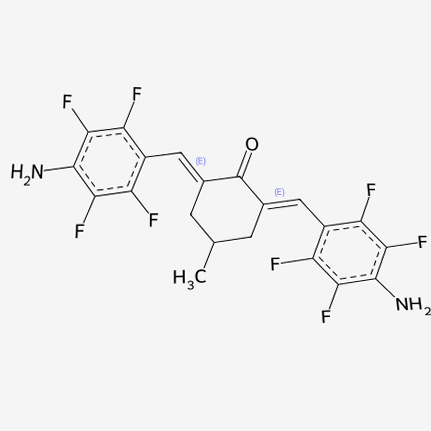 CC1C/C(=C\c2c(F)c(F)c(N)c(F)c2F)C(=O)/C(=C/c2c(F)c(F)c(N)c(F)c2F)C1